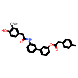 COc1cc(CC(=O)Nc2cccc(-c3cccc(OC(=O)Cc4ccc(C)cc4)c3)c2)ccc1O